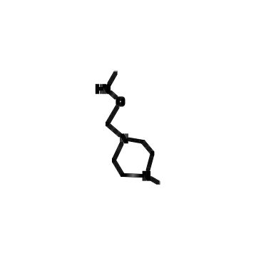 CNOCN1CCN(C)CC1